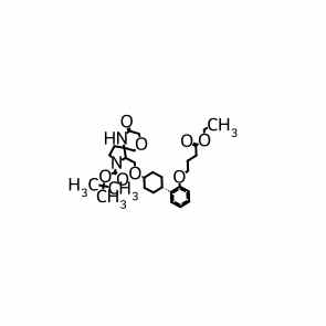 CCOC(=O)CCCOc1ccccc1[C@H]1CC[C@@H](OCC2N(C(=O)OC(C)(C)C)CCC23COCC(=O)N3)CC1